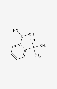 CC(C)(C)c1ccccc1B(O)O